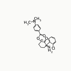 CN(C)c1ccc(C(=O)O[C@@H]2CCC[C@@](N)(c3ccccc3Cl)C2=O)cc1